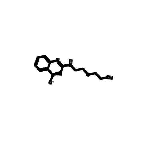 [O-][n+]1nc(NCCOCCO)nc2ccccc21